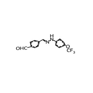 O=Cc1ccc(C=NNc2ccc(OC(F)(F)F)cc2)cc1